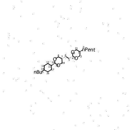 CCCCC[C@H]1CO[C@H](CC[C@H]2CO[C@H](C3CCC(CCCC)CC3)OC2)OC1